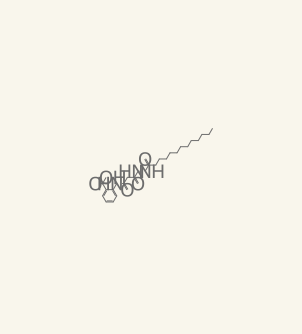 CCCCCCCCCCCCC(=O)NNC(=O)CC(=O)Nc1ccccc1C(=O)O